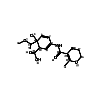 COC(C)C1(Cl)C=CC(NC(=O)C2=C(C)OCCS2)=CC1C(=O)O